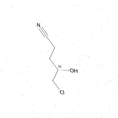 N#CCC[C@H](O)CCl